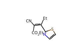 [C-]#[N+]C(C(=O)OCC)=C(CC)c1nccs1